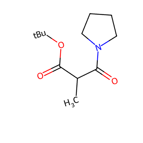 CC(C(=O)OC(C)(C)C)C(=O)N1CCCC1